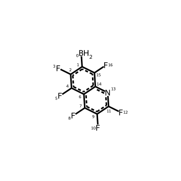 Bc1c(F)c(F)c2c(F)c(F)c(F)nc2c1F